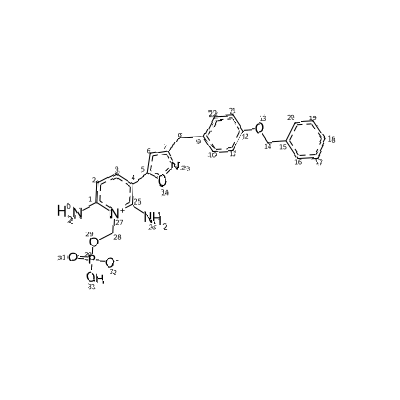 Nc1ccc(-c2cc(Cc3ccc(OCc4ccccc4)cc3)no2)c(N)[n+]1COP(=O)([O-])O